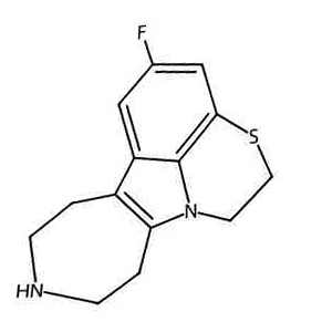 Fc1cc2c3c(c1)c1c(n3CCS2)CCNCC1